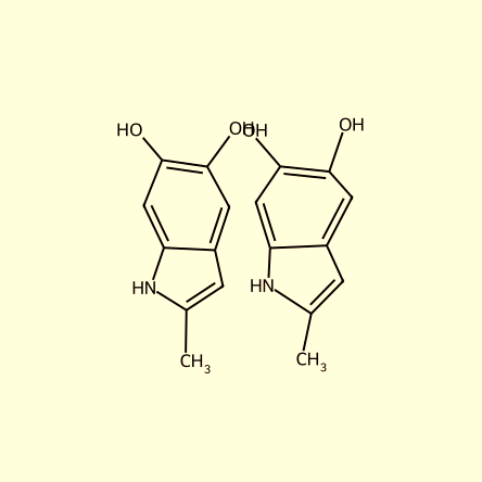 Cc1cc2cc(O)c(O)cc2[nH]1.Cc1cc2cc(O)c(O)cc2[nH]1